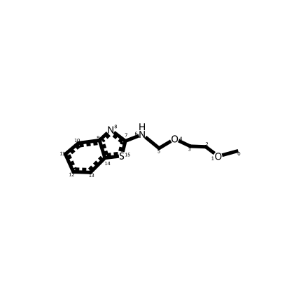 COCCOCNc1nc2ccccc2s1